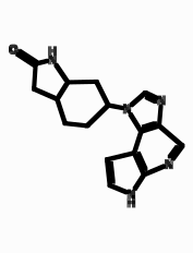 O=C1CC2CCC(n3cnc4cnc5[nH]ccc5c43)CC2N1